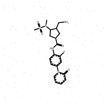 CN(C1CC(C(=O)Nc2ccc(-n3ccccc3=O)cc2F)CC1CN)S(C)(=O)=O